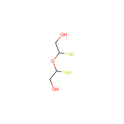 OCC(S)OC(S)CO